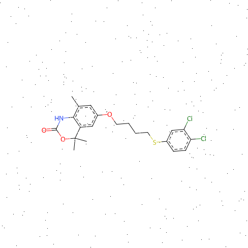 Cc1cc(OCCCCSc2ccc(Cl)c(Cl)c2)cc2c1NC(=O)OC2(C)C